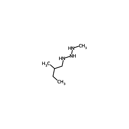 CCC(C)CNNNC